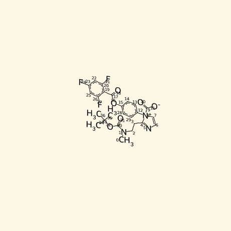 CN(CCC1=NC=C[N+]1(C(=O)[O-])c1ccc(OC(=O)c2c(F)cc(F)cc2F)cc1)C(=O)OC(C)(C)C